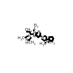 CCCC(c1nc2cc(N3CCC(c4ccccc4)(N(C)C)CC3)cnc2n1CC)N1C[C@@H](C)N[C@@H](C)C1